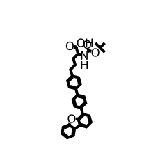 CC(C)(C)OC(=O)NC(CCCc1ccc(-c2ccc(-c3cccc4c3oc3ccccc34)cc2)cc1)C(=O)O